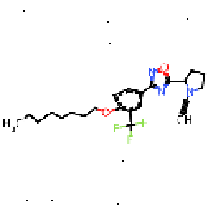 C#CN1CCCC1c1nc(-c2ccc(OCCCCCCCC)c(C(F)(F)F)c2)no1